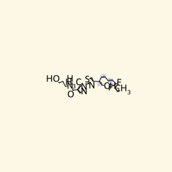 C\C=C(/C=C\C=C\C(C)(F)F)c1csc(-n2ncc(C(=O)NCCCO)c2C)n1